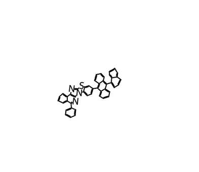 c1ccc(-c2nc3c(nc4sc5cc(-c6c7ccccc7c(-c7cccc8ccccc78)c7ccccc67)ccc5n43)c3ccccc23)cc1